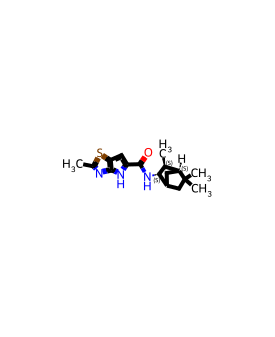 Cc1nc2[nH]c(C(=O)N[C@H]3C4C[C@@H]([C@@H]3C)C(C)(C)C4)cc2s1